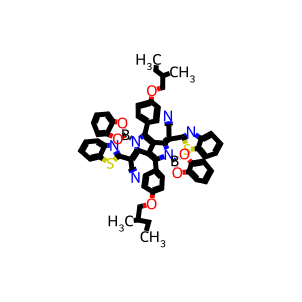 CCC(C)COc1ccc(-c2c3/c(=C(\C#N)c4nc5ccccc5s4)n(B4Oc5ccccc5O4)c(-c4ccc(OCC(C)CC)cc4)c3/c(=C(\C#N)c3nc4ccccc4s3)n2B2Oc3ccccc3O2)cc1